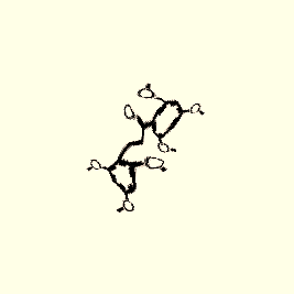 COc1cc(OC)c(C=CC(=O)c2c(OC)cc(OC)cc2OC)c(OC)c1